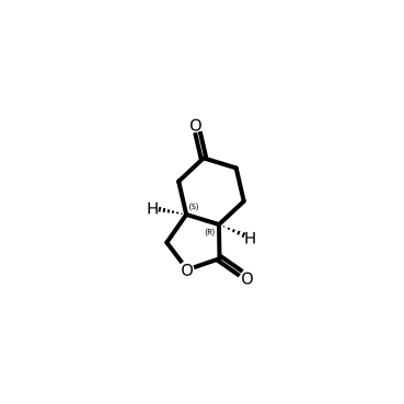 O=C1CC[C@H]2C(=O)OC[C@H]2C1